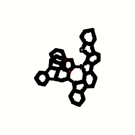 c1ccc2c(c1)-c1cccc3cc(-n4c5ccccc5c5ccc6c7ccc8c9ccccc9oc8c7n(-c7ccc8ccccc8c7)c6c54)cc-2c13